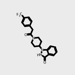 O=C(Cc1ccc(C(F)(F)F)cc1)N1CCC(n2[nH]c(=O)c3ccccc32)CC1